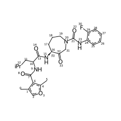 Cc1coc(C)c1C(=O)NC(CC(C)C)C(=O)N[C@H]1CCCN(C(=O)Nc2ccccc2F)CC1=O